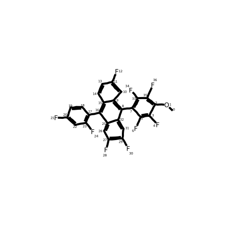 COc1c(F)c(F)c(-c2c3cc(F)ccc3c(-c3ccc(F)cc3F)c3cc(F)c(F)cc23)c(F)c1F